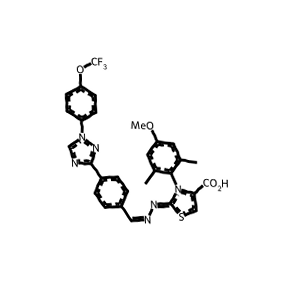 COc1cc(C)c(-n2c(C(=O)O)cs/c2=N\N=C/c2ccc(-c3ncn(-c4ccc(OC(F)(F)F)cc4)n3)cc2)c(C)c1